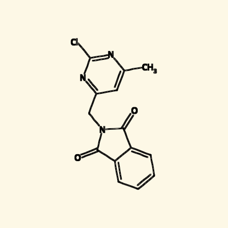 Cc1cc(CN2C(=O)c3ccccc3C2=O)nc(Cl)n1